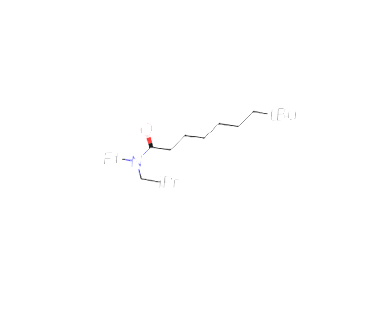 CCN(CC(C)C)C(=O)CCCCCCC(C)(C)C